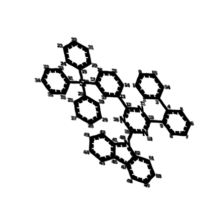 c1ccc(-c2ccccc2-c2nc(-c3cccc([Si](c4ccccc4)(c4ccccc4)c4ccccc4)c3)nc(-n3c4ccccc4c4ccccc43)n2)cc1